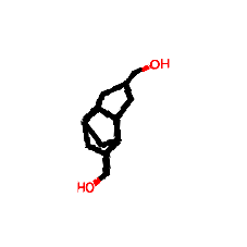 OCC1CC2C3CC(CO)C(C3)C2C1